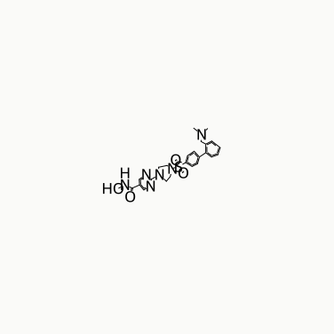 CN(C)Cc1ccccc1-c1ccc(S(=O)(=O)N2CCN(c3ncc(C(=O)NO)cn3)CC2)cc1